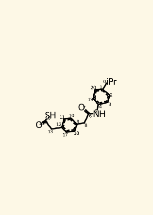 CC(C)c1ccc(NC(=O)Cc2ccc(CC(=O)S)cc2)cc1